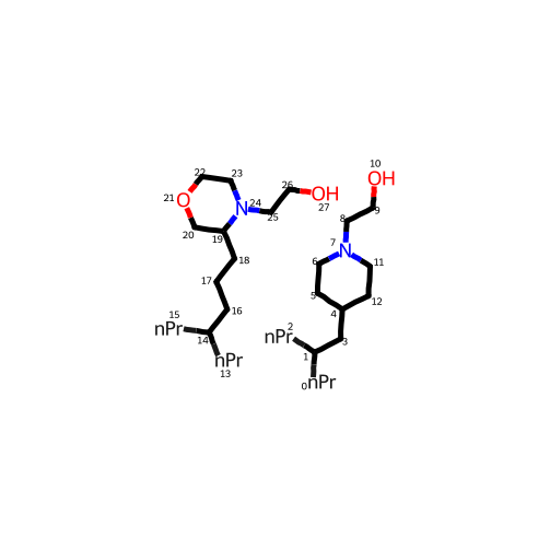 CCCC(CCC)CC1CCN(CCO)CC1.CCCC(CCC)CCCC1COCCN1CCO